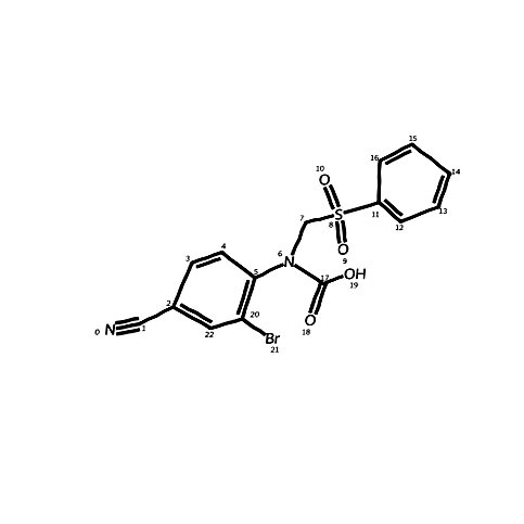 N#Cc1ccc(N(CS(=O)(=O)c2ccccc2)C(=O)O)c(Br)c1